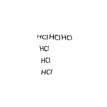 Cl.Cl.Cl.Cl.Cl.Cl